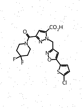 O=C(O)c1cc(C(=O)N2CCC(F)(F)CC2)nn1Cc1cc(-c2ccc(Cl)s2)on1